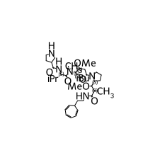 CC[C@H](C)[C@@H]([C@@H](CC(=O)N1CCC[C@H]1C(OC)[C@@H](C)C(=O)NCCC1C=CC=CC=C1)OC)N(C)C(=O)[C@@H](NC(=O)C1CCNC1)C(C)C